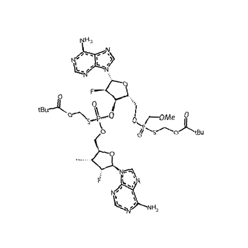 COCP(=O)(OC[C@H]1O[C@@H](n2cnc3c(N)ncnc32)[C@H](F)[C@@H]1OP(=O)(OC[C@H]1O[C@@H](n2cnc3c(N)ncnc32)[C@H](F)[C@@H]1C)SCOC(=O)C(C)(C)C)SCOC(=O)C(C)(C)C